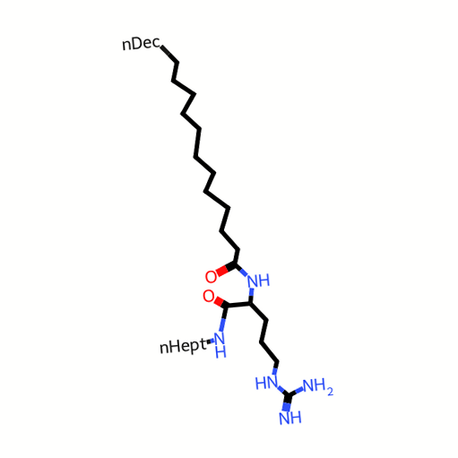 CCCCCCCCCCCCCCCCCCCCCC(=O)NC(CCCNC(=N)N)C(=O)NCCCCCCC